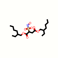 CCCCC(CC)COC(=O)CC(C(=O)OCC(CC)CCCC)S(=O)(=O)N=O